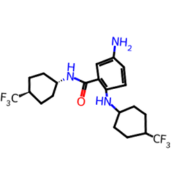 Nc1ccc(NC2CCC(C(F)(F)F)CC2)c(C(=O)N[C@H]2CC[C@H](C(F)(F)F)CC2)c1